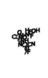 CC(F)COc1cc2nc(Cc3nn(CC(=O)NCC(F)(F)CO)c(=O)c4ccccc34)[nH]c2cc1C#N